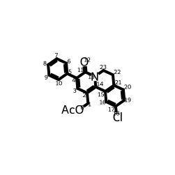 CC(=O)OCc1cc(-c2ccccc2)c(=O)n2c1-c1cc(Cl)ccc1CC2